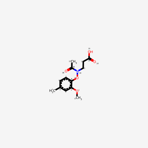 COc1cc(C)ccc1ON(CCC(=O)O)C(C)=O